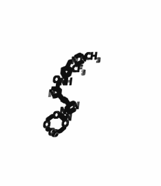 CN1CCN(Cc2ccc(NC(=O)c3cncc(C#Cc4cncc5nc6c(nc45)OCCOCCOCCO6)c3)cc2C(F)(F)F)CC1